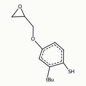 CC(C)(C)c1cc(OCC2CO2)ccc1S